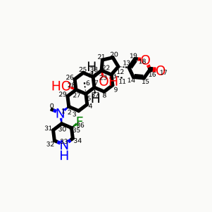 CN([C@@H]1CC[C@]2(C)[C@@H]3CC[C@]4(C)[C@@H](c5ccc(=O)oc5)CC[C@@]4(O)[C@@H]3CC[C@@]2(O)C1)[C@@H]1CCNC[C@@H]1F